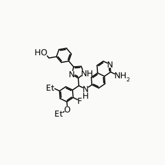 CCOc1cc(CC)cc(C(Nc2ccc3c(N)nccc3c2)c2nc(-c3cccc(CO)c3)c[nH]2)c1F